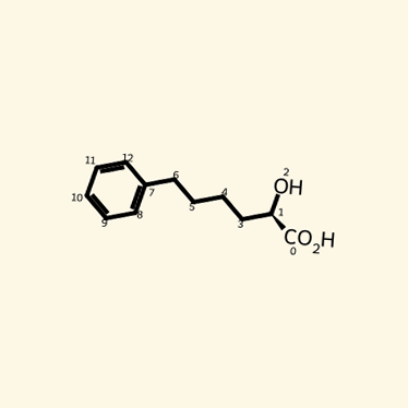 O=C(O)[C@H](O)CCCCc1ccccc1